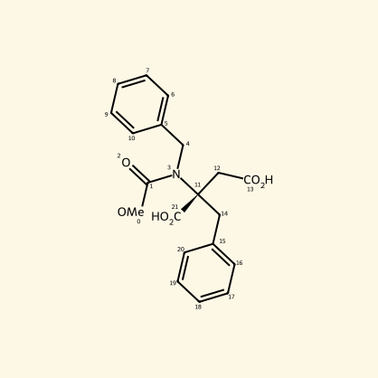 COC(=O)N(Cc1ccccc1)[C@](CC(=O)O)(Cc1ccccc1)C(=O)O